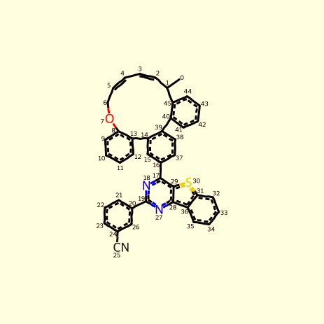 CC1/C=C\C=C/COc2ccccc2-c2cc(-c3nc(-c4cccc(C#N)c4)nc4c3sc3ccccc34)ccc2-c2ccccc21